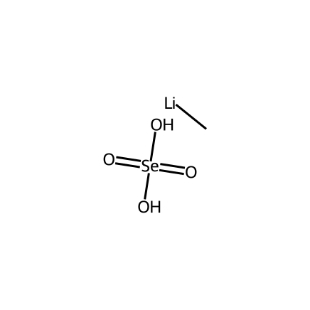 O=[Se](=O)(O)O.[Li][CH3]